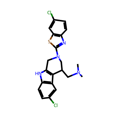 CN(C)CC1CN(c2nc3ccc(Cl)cc3s2)Cc2[nH]c3ccc(Cl)cc3c21